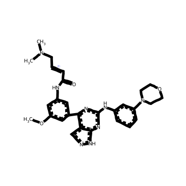 COc1cc(NC(=O)/C=C/CN(C)C)cc(-c2nc(Nc3cccc(N4CCOCC4)c3)nc3[nH]ncc23)c1